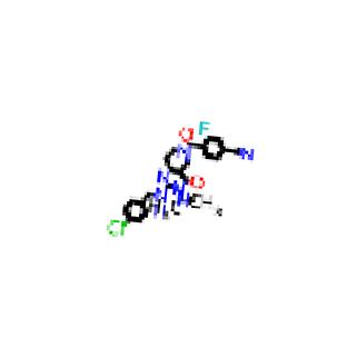 CN(C)n1c(NCc2ccc(Cl)cc2)nc2c(c1=O)CN(C(=O)c1ccc(C#N)cc1F)CC2